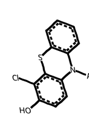 CC(=O)N1c2ccccc2Sc2c1ccc(O)c2Cl